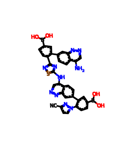 N#Cc1ccn(-c2ccc(B(O)O)cc2-c2ccc3c(Nc4nc(-c5ccc(B(O)O)cc5-c5ccc6c(N)cnnc6c5)ns4)cnnc3c2)n1